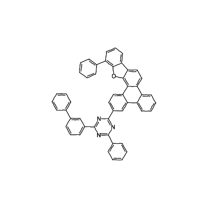 c1ccc(-c2cccc(-c3nc(-c4ccccc4)nc(-c4ccc5c(c4)c4ccccc4c4ccc6c7cccc(-c8ccccc8)c7oc6c45)n3)c2)cc1